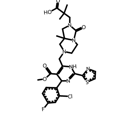 COC(=O)C1=C(CN2CCN3C(=O)N(CC(C)(C)C(=O)O)CC3(C)C2)NC(c2nccs2)=NC1c1ccc(F)cc1Cl